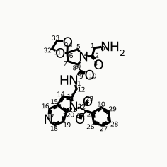 NCC(=O)N1CC2(C[C@H]1C(=O)NCc1cc3cnccc3n1S(=O)(=O)c1ccccc1)OCCO2